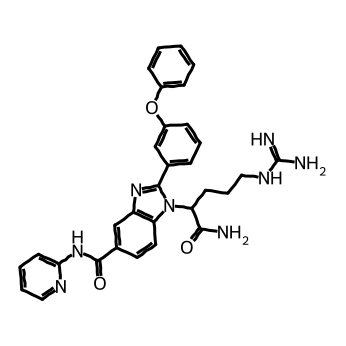 N=C(N)NCCCC(C(N)=O)n1c(-c2cccc(Oc3ccccc3)c2)nc2cc(C(=O)Nc3ccccn3)ccc21